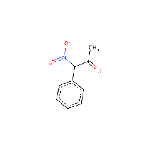 CC(=O)C(c1ccccc1)[N+](=O)[O-]